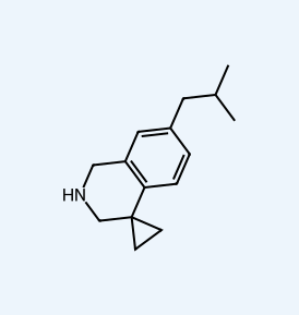 CC(C)Cc1ccc2c(c1)CNCC21CC1